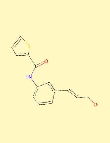 [O]C/C=C/c1cccc(NC(=O)c2cccs2)c1